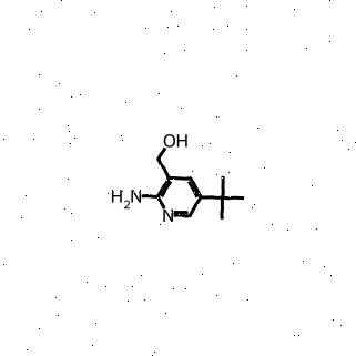 CC(C)(C)c1cnc(N)c(CO)c1